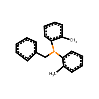 Cc1ccccc1P(Cc1ccccc1)c1ccccc1C